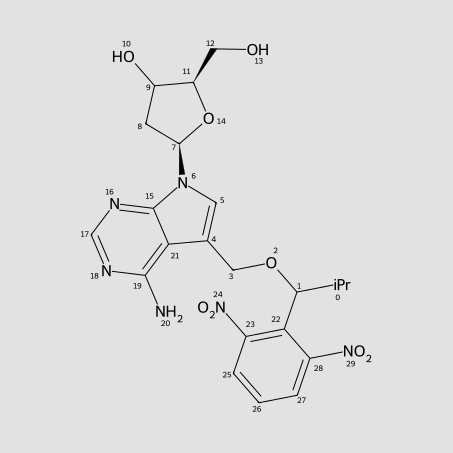 CC(C)C(OCc1cn([C@H]2CC(O)[C@@H](CO)O2)c2ncnc(N)c12)c1c([N+](=O)[O-])cccc1[N+](=O)[O-]